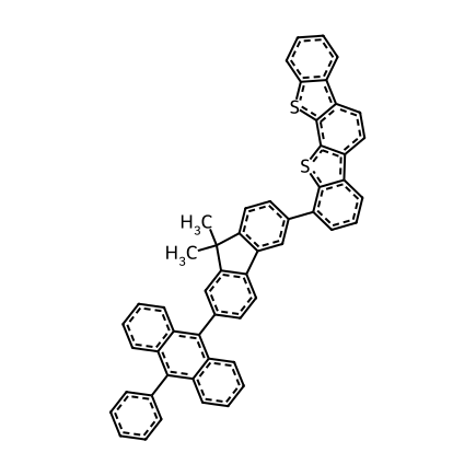 CC1(C)c2ccc(-c3cccc4c3sc3c4ccc4c5ccccc5sc43)cc2-c2ccc(-c3c4ccccc4c(-c4ccccc4)c4ccccc34)cc21